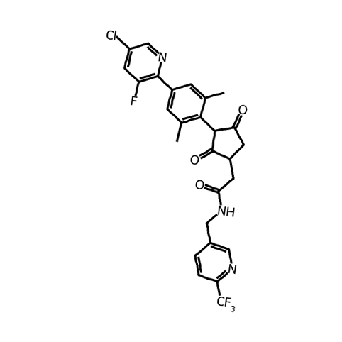 Cc1cc(-c2ncc(Cl)cc2F)cc(C)c1C1C(=O)CC(CC(=O)NCc2ccc(C(F)(F)F)nc2)C1=O